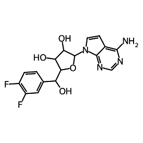 Nc1ncnc2c1ccn2C1OC(C(O)c2ccc(F)c(F)c2)C(O)C1O